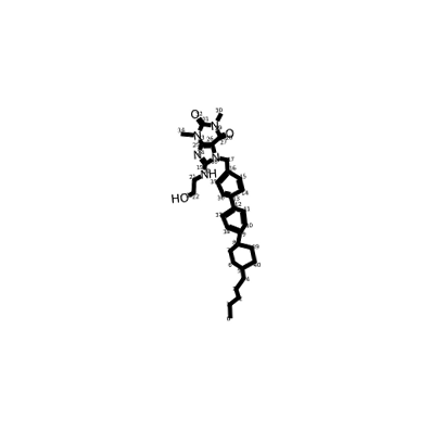 CCCCCC1CCC(c2ccc(-c3ccc(Cn4c(NCCO)nc5c4c(=O)n(C)c(=O)n5C)cc3)cc2)CC1